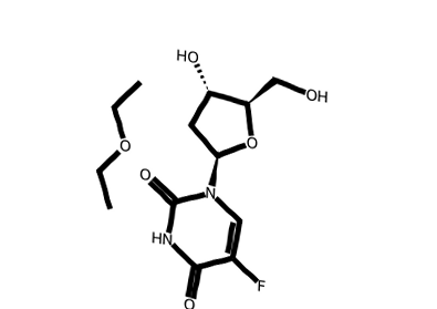 CCOCC.O=c1[nH]c(=O)n([C@H]2C[C@H](O)[C@@H](CO)O2)cc1F